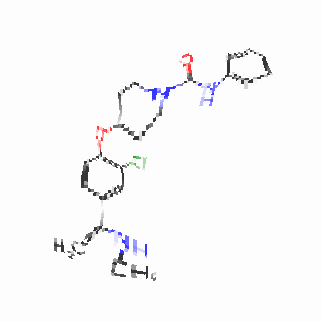 C=C(NC)c1ccc(OC2CCN(C(=O)Nc3ccccc3)CC2)c(Cl)c1